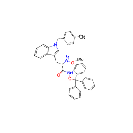 CC(C)(C)ONC(Cc1cn(Cc2ccc(C#N)cc2)c2ccccc12)C(=O)NOC(c1ccccc1)(c1ccccc1)c1ccccc1